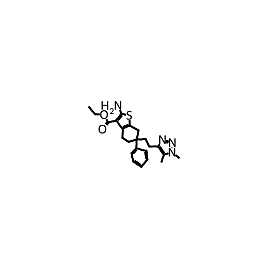 CCOC(=O)c1c(N)sc2c1CCC(CCc1nnn(C)c1C)(c1ccccc1)C2